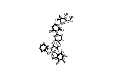 C[C@H](NP(=O)(Oc1ccccc1)Oc1c(F)c(F)c(F)c(F)c1F)C(=O)OC1CCC(n2c(=O)ccn([C@@H]3O[C@H](CO)[C@@H](O)[C@]3(F)Cl)c2=O)CC1